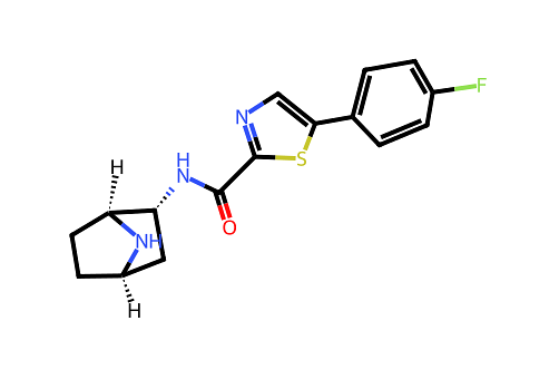 O=C(N[C@@H]1C[C@H]2CC[C@@H]1N2)c1ncc(-c2ccc(F)cc2)s1